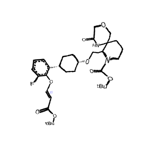 CC(C)(C)OC(=O)/C=C/Oc1c(F)cccc1[C@H]1CC[C@@H](OCC2N(C(=O)OC(C)(C)C)CCCC23COCC(=O)N3)CC1